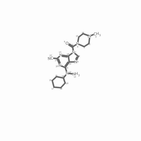 CN1CCN(C(=O)n2cnc3c(N(N)C4CCCCC4)nc(C#N)nc32)CC1